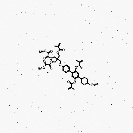 C=C(C)C(=O)OCC(COC(=O)C(=O)OC)(COC(=O)C(=O)OC)COc1ccc(-c2cc(OC(=O)C(=C)C)c(C3CCC(CCCCC)CC3)cc2OC(=O)C(=C)C)cc1